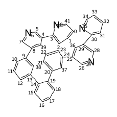 c1ccc(-c2cncc(-c3cccc(-c4ccccc4-c4cccc(-c5cncc(-c6ccccn6)c5)c4)c3)c2)nc1